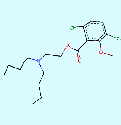 CCCCN(CCCC)CCOC(=O)c1c(Cl)ccc(Cl)c1OC